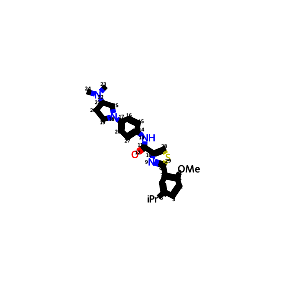 COc1ccc(C(C)C)cc1-c1nc(C(=O)Nc2ccc(N3CCC(N(C)C)C3)cc2)cs1